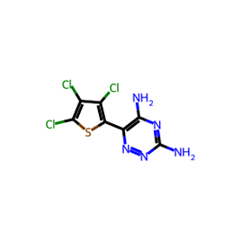 Nc1nnc(-c2sc(Cl)c(Cl)c2Cl)c(N)n1